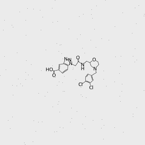 O=C(Cn1nnc2cc(C(=O)O)ccc21)NCC1CN(Cc2ccc(Cl)c(Cl)c2)CCO1